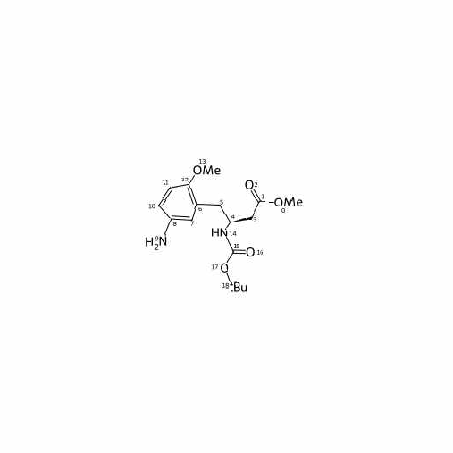 COC(=O)C[C@H](Cc1cc(N)ccc1OC)NC(=O)OC(C)(C)C